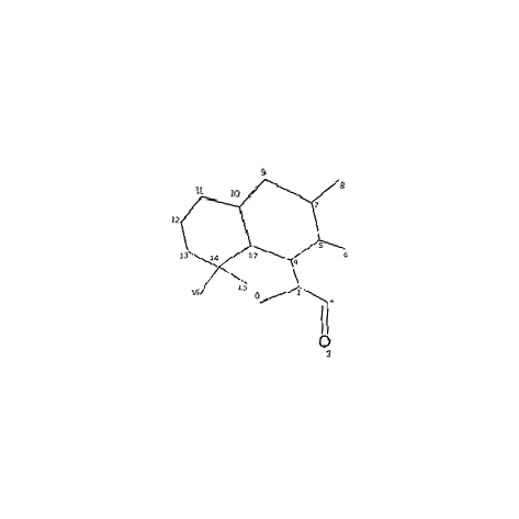 CC(C=O)C1C(C)C(C)CC2CCCC(C)(C)C21